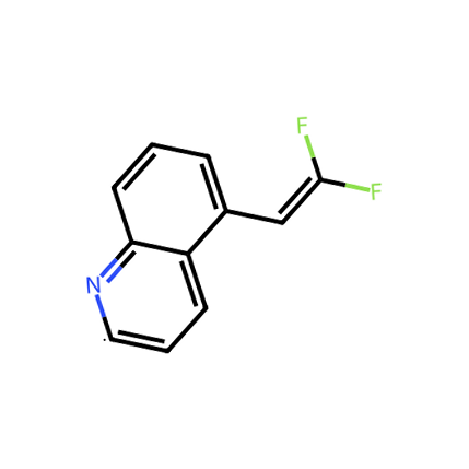 FC(F)=Cc1cccc2n[c]ccc12